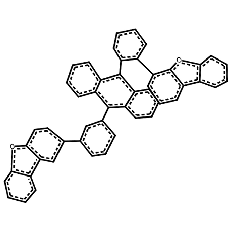 c1cc(-c2ccc3oc4ccccc4c3c2)cc(-c2c3ccccc3c(-c3ccccc3-c3cccc4c3oc3ccccc34)c3ccccc23)c1